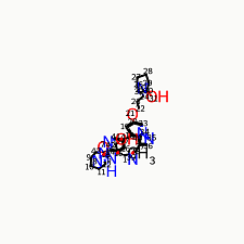 CC[C@H](CO)NC(=O)N1C2CC1CN(c1ccc(-c3cc(OCCCN4C5CCC4C(O)C5)cn4ncc(C#N)c34)cn1)C2